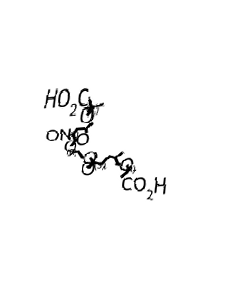 CC(CO[C@H](C)CC(=O)O)C[C@H](N=O)C(=O)O[C@H](C)CCOC(=O)[C@@H](C)CC(C)CO[C@H](C)CC(=O)O